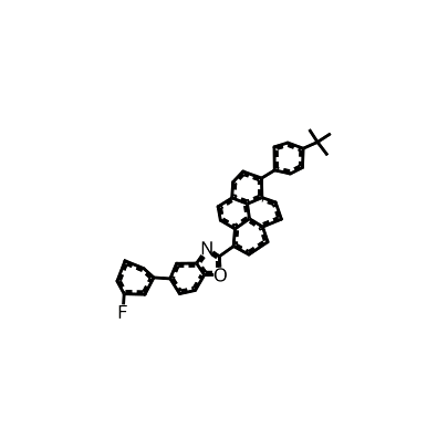 CC(C)(C)c1ccc(-c2ccc3ccc4c(-c5nc6cc(-c7cccc(F)c7)ccc6o5)ccc5ccc2c3c54)cc1